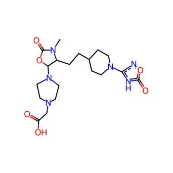 CN1C(=O)OC(N2CCN(CC(=O)O)CC2)C1CCC1CCN(c2noc(=O)[nH]2)CC1